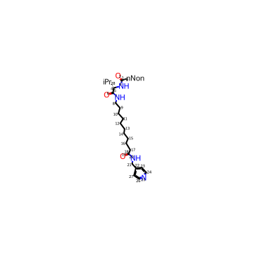 CCCCCCCCCC(=O)N[C@H](C(=O)NCCCCCCCCCCC(=O)NCc1ccncc1)C(C)C